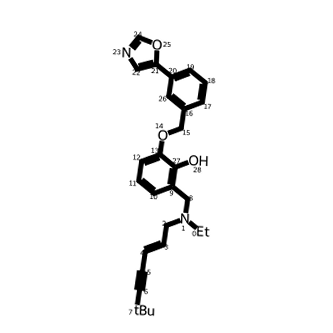 CCN(CC=CC#CC(C)(C)C)Cc1cccc(OCc2cccc(-c3cnco3)c2)c1O